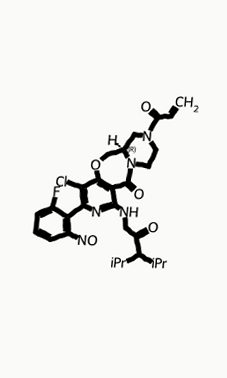 C=CC(=O)N1CCN2C(=O)c3c(NCC(=O)C(C(C)C)C(C)C)nc(-c4c(F)cccc4N=O)c(Cl)c3OC[C@H]2C1